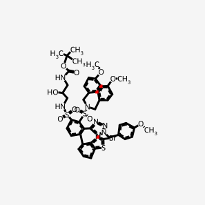 COc1ccc(CN(Cc2ccc(OC)cc2)S(=O)(=O)c2c(S(=O)(=O)NCC(O)CNC(=O)OC(C)(C)C)ccc(-c3cccc4sc(Br)nc34)c2-c2nnn(Cc3ccc(OC)cc3)n2)cc1